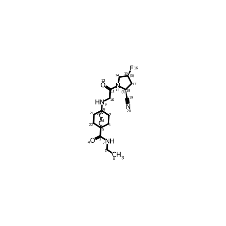 CCNC(=O)C12CCC(NCC(=O)N3C[C@@H](F)C[C@H]3C#N)(CC1)CC2